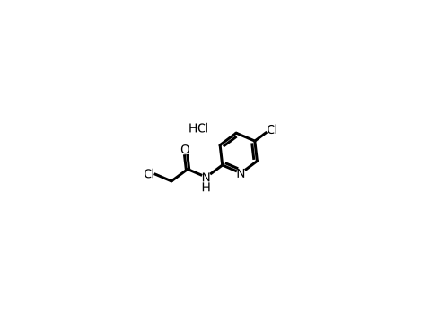 Cl.O=C(CCl)Nc1ccc(Cl)cn1